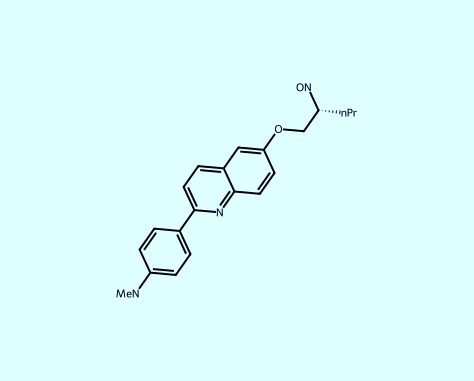 CCC[C@H](COc1ccc2nc(-c3ccc(NC)cc3)ccc2c1)N=O